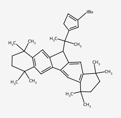 CC(C)(C)C1=CCC(C(C)(C)C2c3cc4c(cc3-c3cc5c(cc32)C(C)(C)CCC5(C)C)C(C)(C)CCC4(C)C)=C1